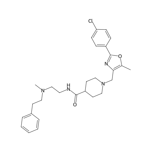 Cc1oc(-c2ccc(Cl)cc2)nc1CN1CCC(C(=O)NCCN(C)CCc2ccccc2)CC1